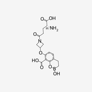 N[C@H](CCC(=O)N1CC(Oc2ccc3c(c2C(=O)O)OB(O)CC3)C1)C(=O)O